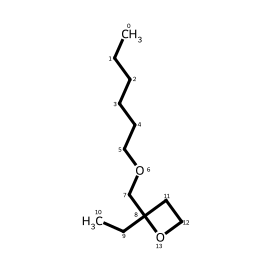 CCCCCCOCC1(CC)CCO1